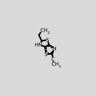 CCc1nc2c(s1)NC(CC)S2